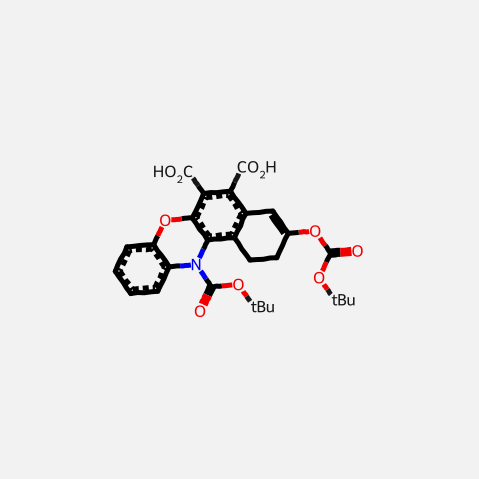 CC(C)(C)OC(=O)OC1=Cc2c(c3c(c(C(=O)O)c2C(=O)O)Oc2ccccc2N3C(=O)OC(C)(C)C)CC1